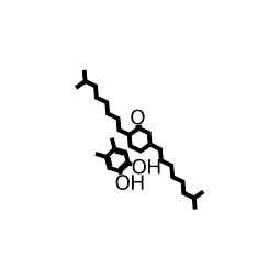 CC(C)CCCCCCC1CCC(CCCCCCC(C)C)C(=O)C1.Cc1cc(O)c(O)cc1C